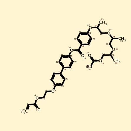 C=CC(=O)OCCOc1ccc(-c2ccc(OC(=O)c3ccc(OC(C)COC(C)COC(C)COC(=O)C(C)CC)cc3)cc2)cc1